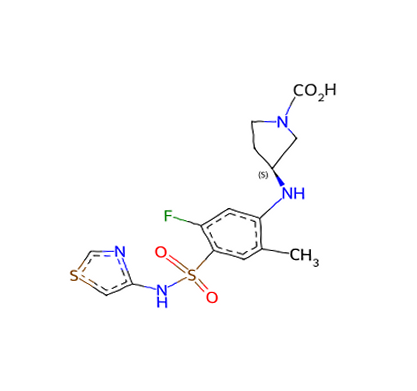 Cc1cc(S(=O)(=O)Nc2cscn2)c(F)cc1N[C@H]1CCN(C(=O)O)C1